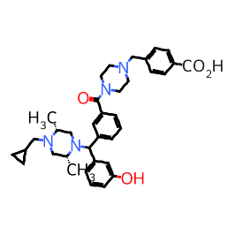 C[C@@H]1CN(C(c2cccc(O)c2)c2cccc(C(=O)N3CCN(Cc4ccc(C(=O)O)cc4)CC3)c2)[C@H](C)CN1CC1CC1